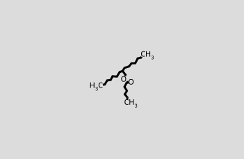 CCCCCCCC(CCCCCCC)COC(=O)CCCCC